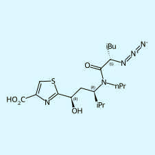 CCCN(C(=O)[C@@H](N=[N+]=[N-])C(C)CC)[C@H](C[C@@H](O)c1nc(C(=O)O)cs1)C(C)C